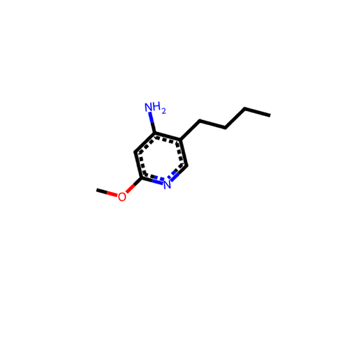 CCCCc1cnc(OC)cc1N